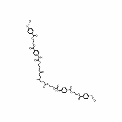 CC(CCC(=O)OCCOC(=O)Nc1ccc(C(=O)OCCOC(=O)c2ccc(N=C=O)cc2)cc1)CCC(=O)OCCOC(=O)Nc1ccc(C(=O)OCCOC(=O)c2ccc(N=C=O)cc2)cc1